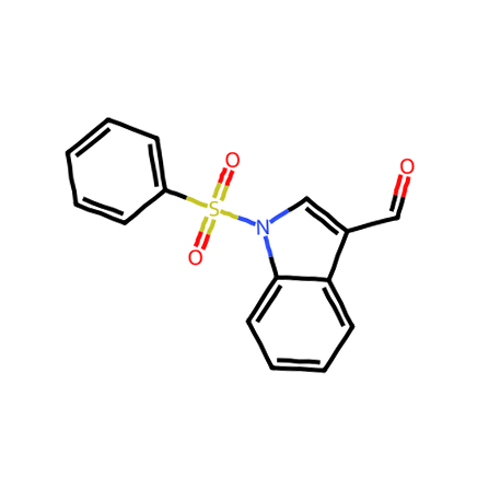 O=Cc1cn(S(=O)(=O)c2ccccc2)c2ccccc12